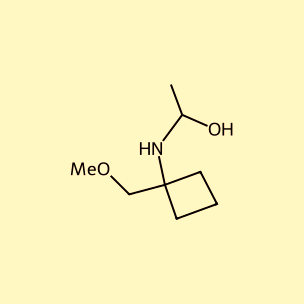 COCC1(NC(C)O)CCC1